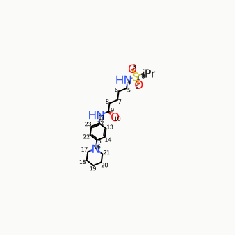 CC(C)S(=O)(=O)NCCCCC(=O)Nc1ccc(N2CCCCC2)cc1